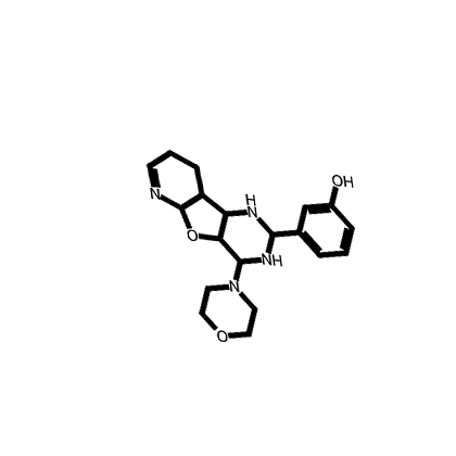 Oc1cccc(C2NC3C4CCC=NC4OC3C(N3CCOCC3)N2)c1